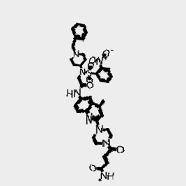 CNC(=O)CCC(=O)N1CCN(c2cc(C)c3cc(NC(=O)CN(C4CCN(Cc5ccccc5)CC4)S(=O)(=O)c4ccccc4[N+](=O)[O-])ccc3n2)CC1